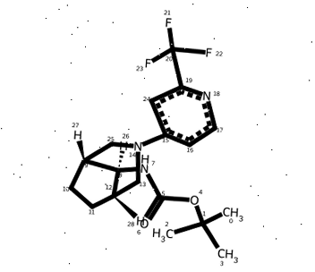 CC(C)(C)OC(=O)N[C@@H]1[C@@H]2CC[C@H]1CN(c1ccnc(C(F)(F)F)c1)C2